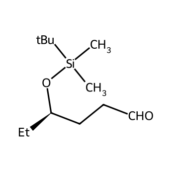 CC[C@H](CCC=O)O[Si](C)(C)C(C)(C)C